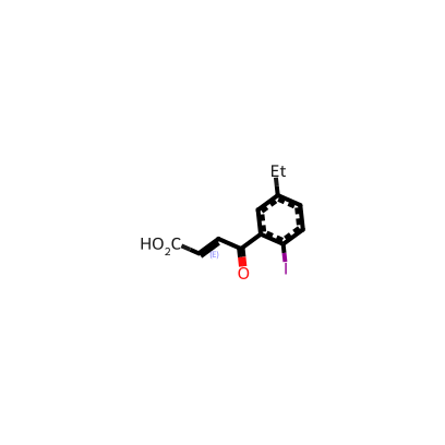 CCc1ccc(I)c(C(=O)/C=C/C(=O)O)c1